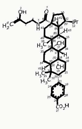 C=C(O)CCNC(=O)[C@]12CC[C@@H](C(C)C)[C@@H]1[C@H]1CC[C@@H]3[C@@]4(C)CC[C@H](c5ccc(C(=O)O)cc5)C(C)(C)[C@@H]4CC[C@@]3(C)[C@]1(C)CC2